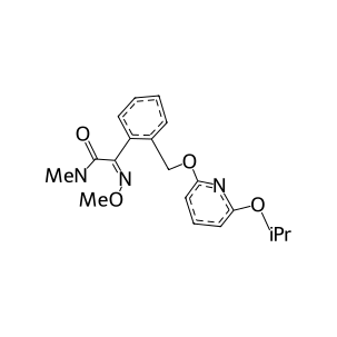 CNC(=O)C(=NOC)c1ccccc1COc1cccc(OC(C)C)n1